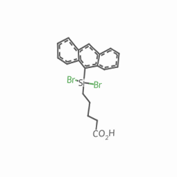 O=C(O)CCCC[Si](Br)(Br)c1c2ccccc2cc2ccccc12